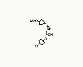 COc1ccc(CC(C)(C)NCC(O)COc2ccc(Cl)cc2)cc1